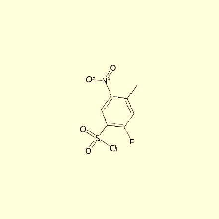 Cc1cc(F)c(S(=O)(=O)Cl)cc1[N+](=O)[O-]